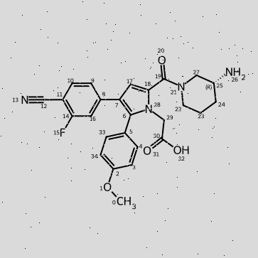 COc1ccc(-c2c(-c3ccc(C#N)c(F)c3)cc(C(=O)N3CCC[C@@H](N)C3)n2CC(=O)O)cc1